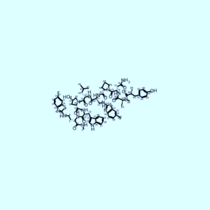 CNC(=O)[C@H](CCNc1nc2ccc(F)cc2s1)NC(=O)[C@H](Cc1c[nH]c2ccccc12)NC(=O)[C@@H]1C[C@@H](O)CN1C(=O)[C@H](CC(C)C)NC(=O)[C@H](CNc1nc2ccc(F)cc2s1)NC(=O)[C@@H]1CCCN1C(=O)[C@H](CC(N)=O)NC(=O)[C@H](C)N(C)C(=O)[C@@H](C)Cc1ccc(O)cc1